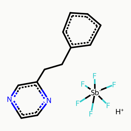 [F][Sb-]([F])([F])([F])([F])[F].[H+].c1ccc(CCc2cnccn2)cc1